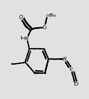 CCCCOC(=O)Nc1cc(N=C=O)ccc1C